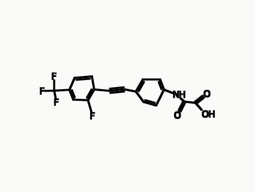 O=C(O)C(=O)Nc1ccc(C#Cc2ccc(C(F)(F)F)cc2F)cc1